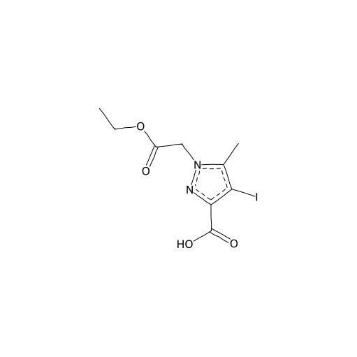 CCOC(=O)Cn1nc(C(=O)O)c(I)c1C